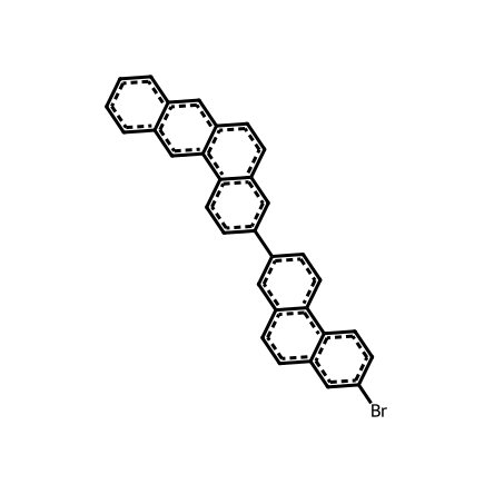 Brc1ccc2c(ccc3cc(-c4ccc5c(ccc6cc7ccccc7cc65)c4)ccc32)c1